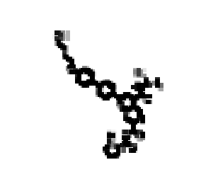 Cl.NNC(=O)c1cc(-c2ccc(-c3ccc(OCCCCO)cc3)cc2)nc2cc(C(=O)OC(=O)[C@H]3CCCN3)ncc12